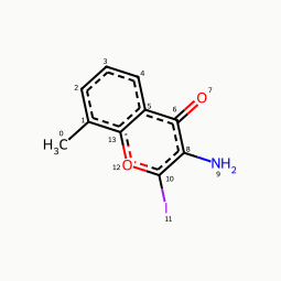 Cc1cccc2c(=O)c(N)c(I)oc12